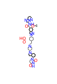 O=C1CCN(c2cccc3c2ccn3C2CCN(CCC3CCC(n4cc5cc(C(=O)Nc6cnc7cccnn67)c(OC6CC6)cc5n4)CC3)CC2)C(=O)N1.O=CO